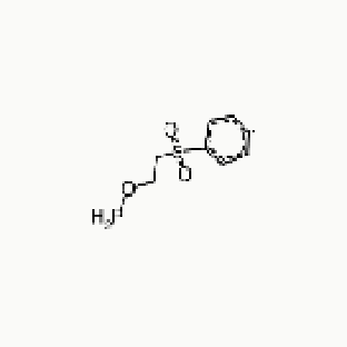 O=S(=O)(CCOP)c1cc[c]cc1